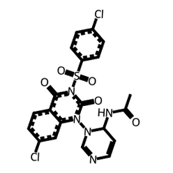 CC(=O)NC1C=CN=CN1n1c(=O)n(S(=O)(=O)c2ccc(Cl)cc2)c(=O)c2ccc(Cl)cc21